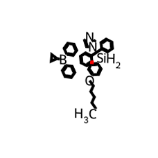 CCCCCCOc1ccc([SiH2]C(c2ccccc2)(c2ccccc2)n2ccnc2)cc1.c1ccc(B(c2ccccc2)C2CC2)cc1